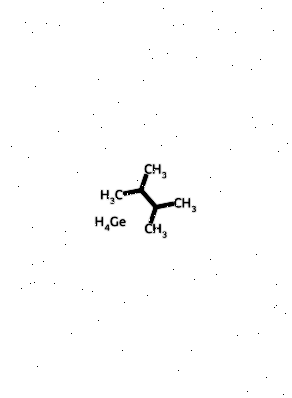 C[C](C)C(C)C.[GeH4]